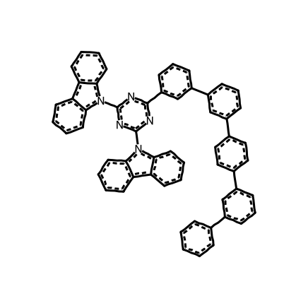 c1ccc(-c2cccc(-c3ccc(-c4cccc(-c5cccc(-c6nc(-n7c8ccccc8c8ccccc87)nc(-n7c8ccccc8c8ccccc87)n6)c5)c4)cc3)c2)cc1